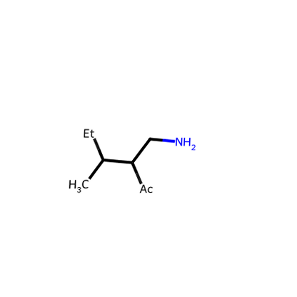 CCC(C)C(CN)C(C)=O